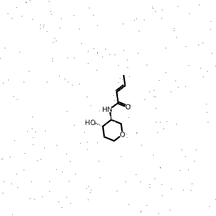 C/C=C/C(=O)N[C@H]1COCC[C@@H]1O